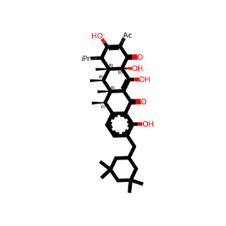 CC(=O)C1=C(O)C(C(C)C)[C@@]2(C)[C@H](C)[C@]3(C)C(=C(O)[C@@]2(O)C1=O)C(=O)c1c(ccc(CC2CC(C)(C)CC(C)(C)C2)c1O)[C@H]3C